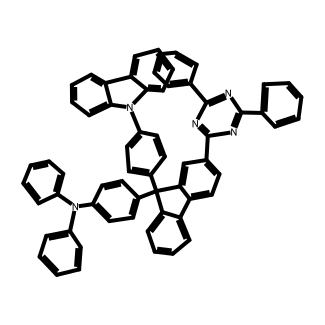 c1ccc(-c2nc(-c3ccccc3)nc(-c3ccc4c(c3)C(c3ccc(N(c5ccccc5)c5ccccc5)cc3)(c3ccc(-n5c6ccccc6c6ccccc65)cc3)c3ccccc3-4)n2)cc1